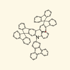 c1ccc(N(c2ccc3c4ccccc4c4ccccc4c3c2)c2cc3c(cc2-c2ccc4c(c2)C2(c5ccccc5-c5ccccc52)c2ccccc2-4)-c2ccccc2C32c3ccccc3-c3ccccc32)cc1